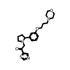 O=C(CN1CCCC1c1cccc(OCCCN2CCOCC2)c1)c1cncs1